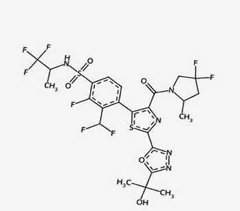 CC1CC(F)(F)CN1C(=O)c1nc(-c2nnc(C(C)(C)O)o2)sc1-c1ccc(S(=O)(=O)NC(C)C(F)(F)F)c(F)c1C(F)F